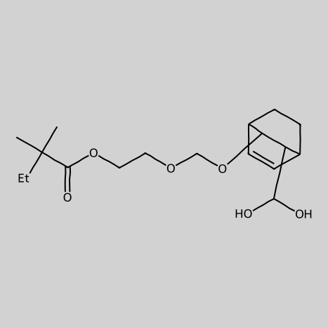 CCC(C)(C)C(=O)OCCOCOC1C2C=CC(CC2)C1C(O)O